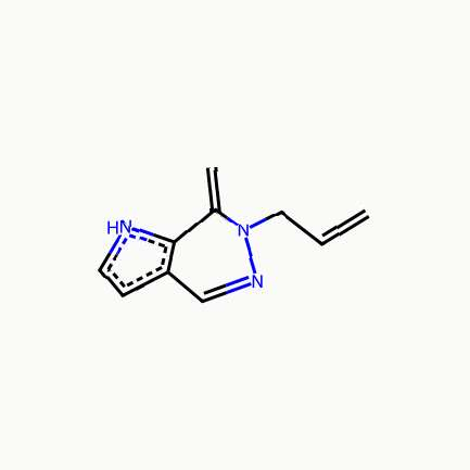 C=CCN1N=Cc2cc[nH]c2C1=C